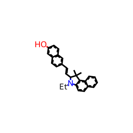 CCN1c2ccc3ccccc3c2C(C)(C)C1C=Cc1ccc2cc(O)ccc2c1